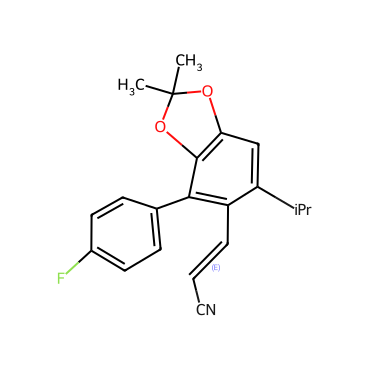 CC(C)c1cc2c(c(-c3ccc(F)cc3)c1/C=C/C#N)OC(C)(C)O2